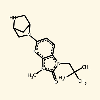 Cn1c(=O)n(CC(C)(C)C)c2ccc(N3CC4CC3CN4)nc21